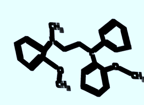 COc1ccccc1P(C)CCP(c1ccccc1)c1ccccc1OC